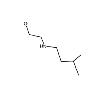 CC(C)CCNCC[O]